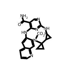 NC(=O)c1cnc(NC2CC2C2(NC(=O)O)CC2)nc1Nc1ccc2ncccc2c1